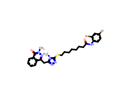 Cn1c(Cc2nn(C)c(=O)c3ccccc23)nnc1SCCCCCCCC(=O)Nc1ccc(Br)cc1Br